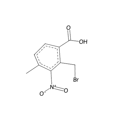 Cc1ccc(C(=O)O)c(CBr)c1[N+](=O)[O-]